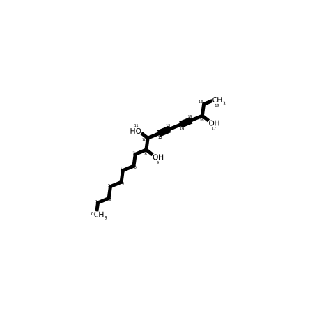 CCCCCCCCC(O)C(O)C#CC#CC(O)CC